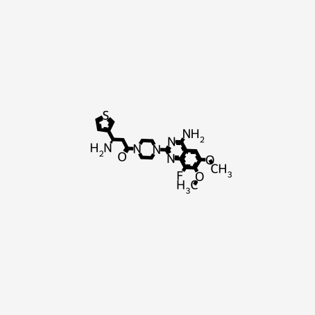 COc1cc2c(N)nc(N3CCN(C(=O)C[C@@H](N)c4ccsc4)CC3)nc2c(F)c1OC